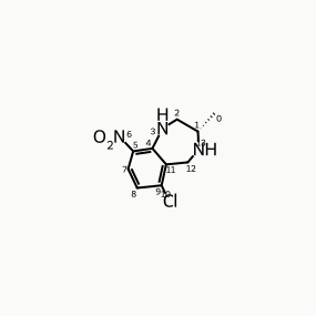 C[C@H]1CNc2c([N+](=O)[O-])ccc(Cl)c2CN1